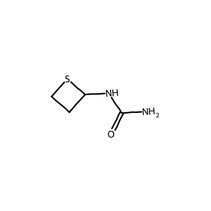 NC(=O)NC1CCS1